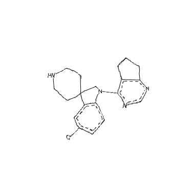 Clc1ccc2c(c1)C1(CCNCC1)CN2c1ncnc2c1CCC2